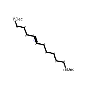 [CH2]CCCCCCCCCCCCCC/C=C/CCCCCCCCCCCCC